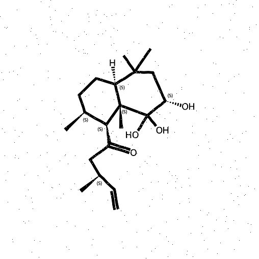 C=C[C@@H](C)CC(=O)[C@H]1[C@@H](C)CC[C@H]2C(C)(C)C[C@H](O)C(O)(O)[C@]12C